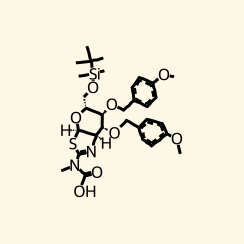 COc1ccc(CO[C@@H]2[C@H]3N=C(N(C)C(=O)O)S[C@H]3O[C@H](CO[Si](C)(C)C(C)(C)C)[C@H]2OCc2ccc(OC)cc2)cc1